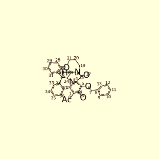 CC(=O)c1cn2c(c(OCc3ccccc3)c1=O)C(=O)N1CCCO[C@H]1[C@@H]2C(c1ccccc1)c1ccccc1